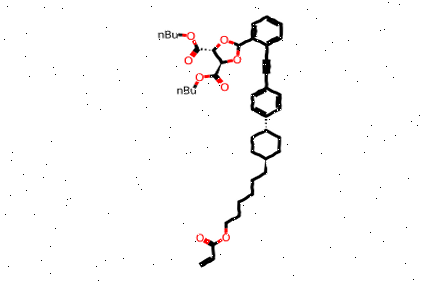 C=CC(=O)OCCCCCC[C@H]1CC[C@H](c2ccc(C#Cc3ccccc3C3O[C@@H](C(=O)OCCCC)[C@H](C(=O)OCCCC)O3)cc2)CC1